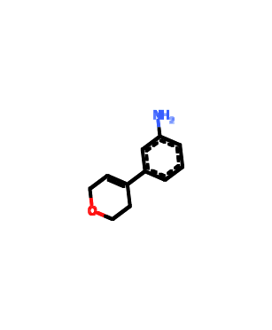 Nc1cccc(C2=CCOCC2)c1